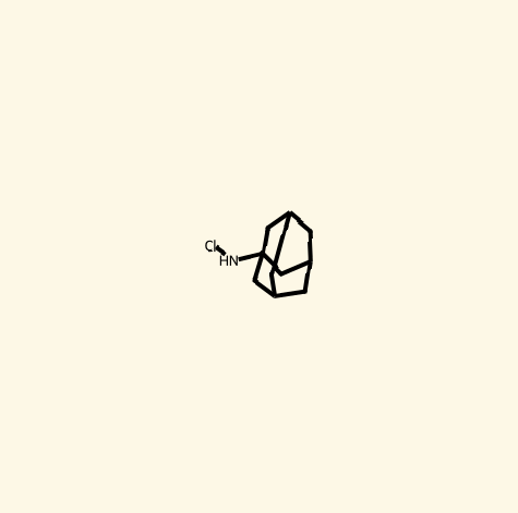 ClNC12CC3CC(CC(C3)C1)C2